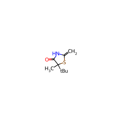 C=C1NC(=O)C(C)(C(C)(C)C)S1